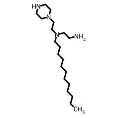 CCCCCCCCCCCCN(CCN)CCN1CCNCC1